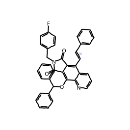 O=C1c2c(c(OC(c3ccccc3)c3ccccc3)c3ncccc3c2/C=C/c2ccccc2)C(=O)N1Cc1ccc(F)cc1